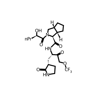 CCC[C@@H](O)C(=O)N1C[C@@H]2CCC[C@@H]2[C@H]1C(=O)N[C@@H](C[C@@H]1CCNC1=O)C(=O)COC(F)(F)F